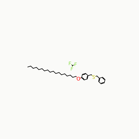 CCCCCCCCCCCCCCCCCCOc1ccc(CSCc2ccccc2)cc1.FC(F)F